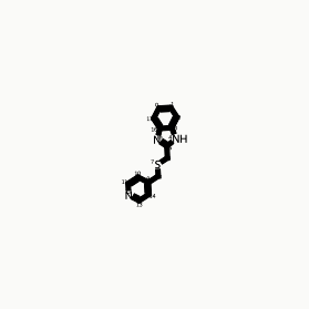 c1ccc2[nH]c(CSCc3ccncc3)nc2c1